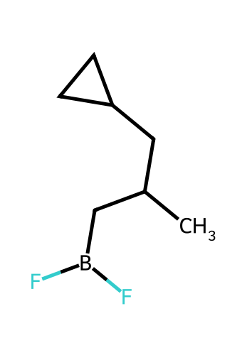 CC(CB(F)F)CC1CC1